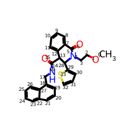 COCCN1C(=O)c2ccccc2C(C(=O)NCc2cccc3ccccc23)C1c1cccs1